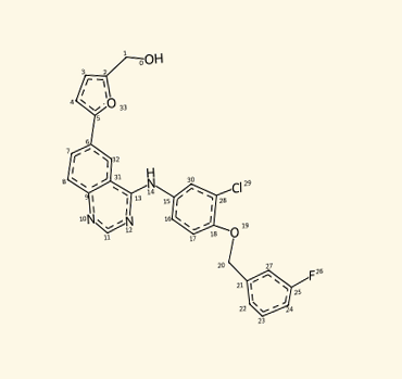 OCc1ccc(-c2ccc3ncnc(Nc4ccc(OCc5cccc(F)c5)c(Cl)c4)c3c2)o1